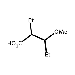 CCC(OC)C(CC)C(=O)O